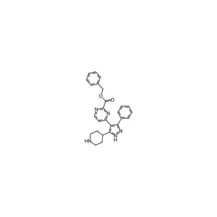 O=C(OCc1ccccc1)c1nccc(-c2c(-c3ccccc3)n[nH]c2C2CCNCC2)n1